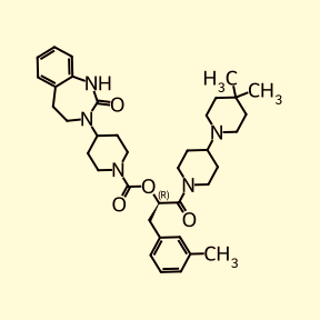 Cc1cccc(C[C@@H](OC(=O)N2CCC(N3CCc4ccccc4NC3=O)CC2)C(=O)N2CCC(N3CCC(C)(C)CC3)CC2)c1